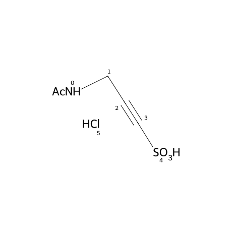 CC(=O)NCC#CS(=O)(=O)O.Cl